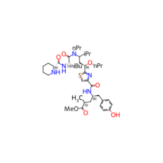 CCCO[C@H](CC(C(C)C)N(CCC)C(=O)[C@@H](NC(=O)[C@H]1CCCCN1)[C@@H](C)CC)c1nc(C(=O)N[C@@H](Cc2ccc(O)cc2)C[C@H](C)C(=O)OC)cs1